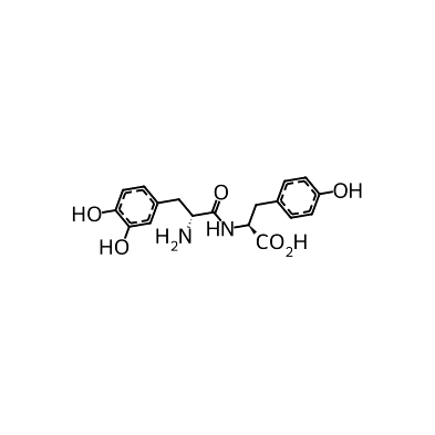 N[C@H](Cc1ccc(O)c(O)c1)C(=O)N[C@@H](Cc1ccc(O)cc1)C(=O)O